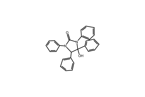 O=C1N(c2ccccc2)C(c2ccccc2)C(O)(c2ccccc2)N1c1ccccc1